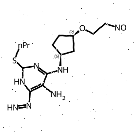 CCCSC1N=C(N[C@H]2CC[C@@H](OCCN=O)C2)C(N)=C(N=N)N1